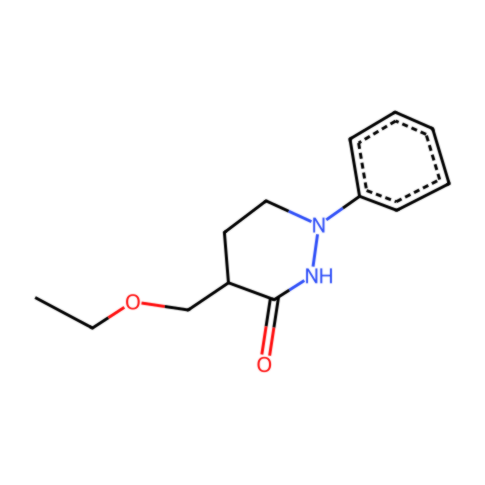 CCOCC1CCN(c2ccccc2)NC1=O